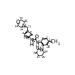 Cc1ccc(NC(=O)Nc2ncc(CN3CCOCC3)s2)c(N2CCCCC2)c1